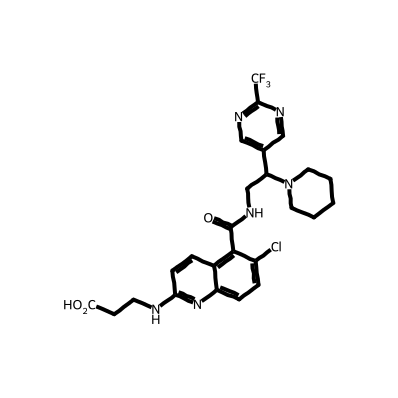 O=C(O)CCNc1ccc2c(C(=O)NCC(c3cnc(C(F)(F)F)nc3)N3CCCCC3)c(Cl)ccc2n1